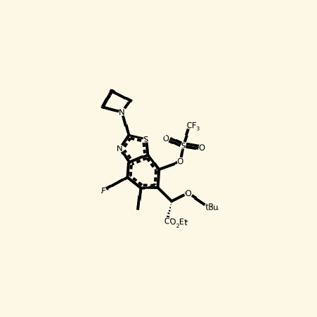 CCOC(=O)[C@@H](OC(C)(C)C)c1c(C)c(F)c2nc(N3CCC3)sc2c1OS(=O)(=O)C(F)(F)F